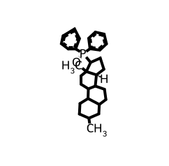 CC1CCC2C(CCC3C2CCC2(C)C(P(=O)(c4ccccc4)c4ccccc4)CC[C@@H]32)C1